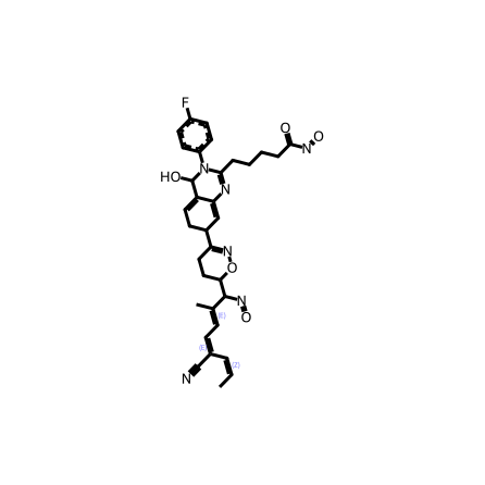 C\C=C/C(C#N)=C\C=C(/C)C(N=O)C1CCC(C2C=C3N=C(CCCCC(=O)N=O)N(c4ccc(F)cc4)C(O)C3=CC2)=NO1